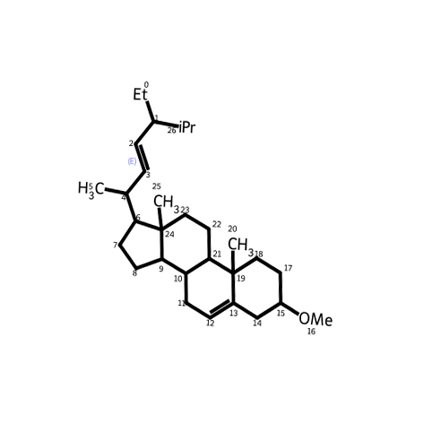 CCC(/C=C/C(C)C1CCC2C3CC=C4CC(OC)CCC4(C)C3CCC12C)C(C)C